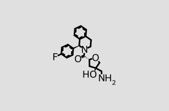 NC[C@@]1(O)CO[C@@H](C(=O)N2CCc3ccccc3[C@@H]2c2ccc(F)cc2)C1